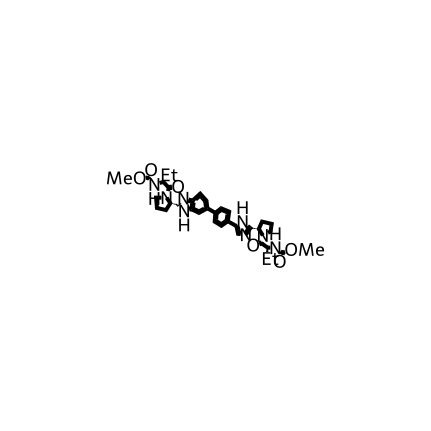 CC[C@H](NC(=O)OC)C(=O)N1CCC[C@H]1c1ncc(-c2ccc(-c3ccc4nc([C@@H]5CCCN5C(=O)[C@H](CC)NC(=O)OC)[nH]c4c3)cc2)[nH]1